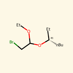 CCCC[C@@H](CC)OC(CBr)OCC